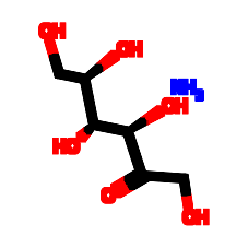 N.O=C(CO)[C@H](O)[C@@H](O)[C@H](O)CO